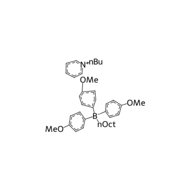 CCCCCCCC[B-](c1ccc(OC)cc1)(c1ccc(OC)cc1)c1ccc(OC)cc1.CCCC[n+]1ccccc1